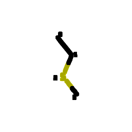 CCSC